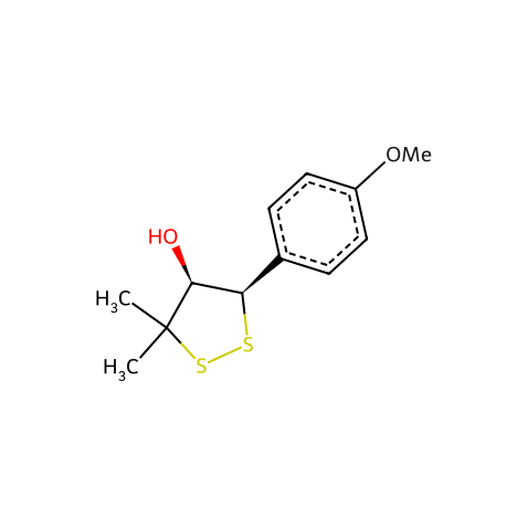 COc1ccc([C@H]2SSC(C)(C)[C@H]2O)cc1